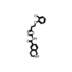 O=C(Nc1nnc(CCOc2ccccc2Cl)s1)c1ccc2c(c1)CCNC2